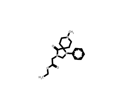 CCOC(=O)CN1CN(c2ccccc2)C2(CCN(C)CC2)C1=O